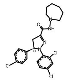 O=C(NN1CCCCCC1)C1=NN(c2ccc(Cl)cc2Cl)[C@@H](c2ccc(Cl)cc2)C1